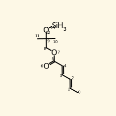 CC=CC=CC(=O)OCC(C)(C)O[SiH3]